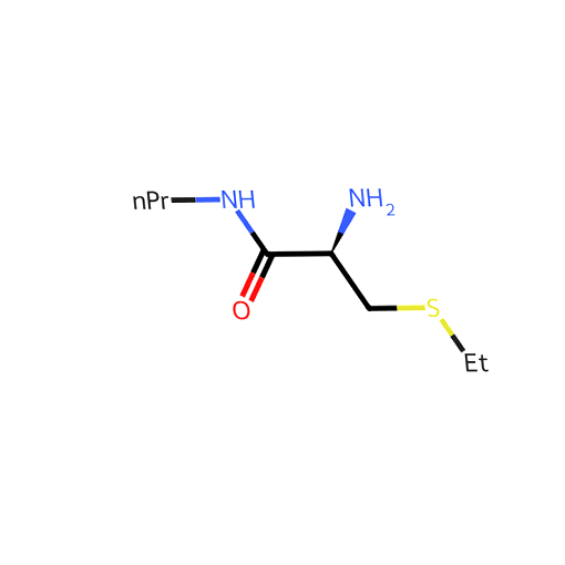 CCCNC(=O)[C@@H](N)CSCC